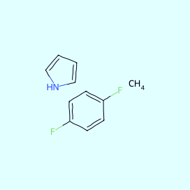 C.Fc1ccc(F)cc1.c1cc[nH]c1